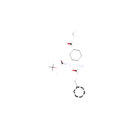 CCOC(=O)[C@H]1CC[C@H](NC(=O)OCc2ccccc2)[C@H](NC(=O)OC(C)(C)C)C1